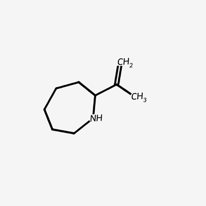 C=C(C)C1CCCCCN1